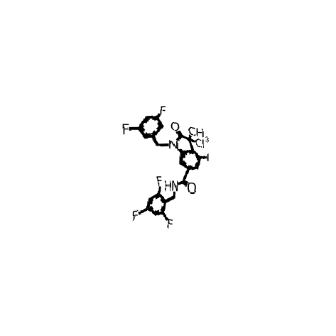 CC1(Cl)C(=O)N(Cc2cc(F)cc(F)c2)c2cc(C(=O)NCc3c(F)cc(F)cc3F)cc(I)c21